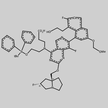 COCOc1cc(-c2ncc3c(N(CCO[Si](c4ccccc4)(c4ccccc4)C(C)(C)C)CCC(=O)O)nc(OC[C@@]45CCCN4C[C@H](F)C5)nc3c2F)c2c(CCO)c(F)ccc2c1